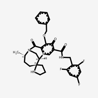 C[C@H]1CC[C@]2(CCCN2)[C@H]2CN1C(=O)c1c(OCc3ccccc3)c(=O)c(C(=O)NCc3c(F)cc(F)cc3F)cn12